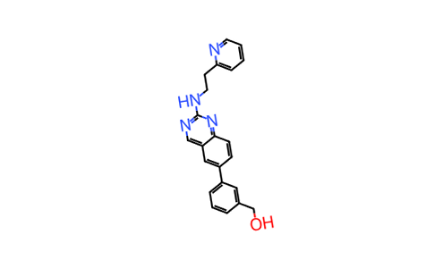 OCc1cccc(-c2ccc3nc(NCCc4ccccn4)ncc3c2)c1